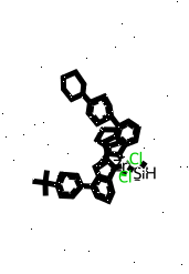 CC1=Cc2c(-c3ccc(C4CCCCC4)cc3)cccc2[CH]1[Zr]([Cl])([Cl])([CH]1C(C2CCCC2)=Cc2c(-c3ccc(C(C)(C)C)cc3)cccc21)[SiH](C)C